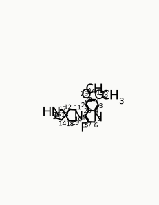 COc1cc2ncc(F)c(N3CCC4(CCNC4)CC3)c2cc1OC